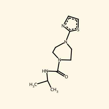 CC(C)NC(=O)N1CCN(c2nccs2)CC1